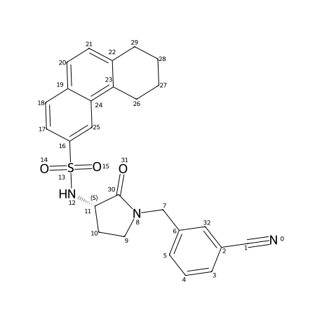 N#Cc1cccc(CN2CC[C@H](NS(=O)(=O)c3ccc4ccc5c(c4c3)CCCC5)C2=O)c1